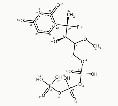 COC(CO[P@@](=O)(O)OP(=O)(O)OP(=O)(O)O)[C@@H](O)[C@@](C)(F)n1ccc(=O)[nH]c1=O